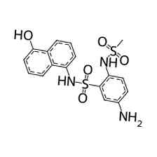 CS(=O)(=O)Nc1ccc(N)cc1S(=O)(=O)Nc1cccc2c(O)cccc12